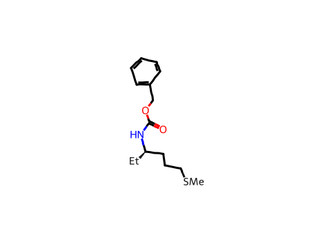 CC[C@H](CCCSC)NC(=O)OCc1ccccc1